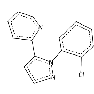 Clc1ccccc1-n1nccc1-c1ccccn1